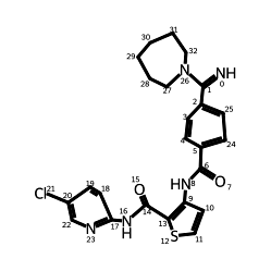 N=C(c1ccc(C(=O)Nc2ccsc2C(=O)Nc2ccc(Cl)cn2)cc1)N1CCCCCC1